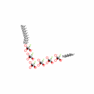 [Na+].[Na+].[Na+].[Na+].[Na+].[Na+].[Na+].[Na+].[Na+].[Na+].[Na+].[Na+].[O]=[Sb]([O-])([O-])[F].[O]=[Sb]([O-])([O-])[F].[O]=[Sb]([O-])([O-])[F].[O]=[Sb]([O-])([O-])[F].[O]=[Sb]([O-])([O-])[F].[O]=[Sb]([O-])([O-])[F]